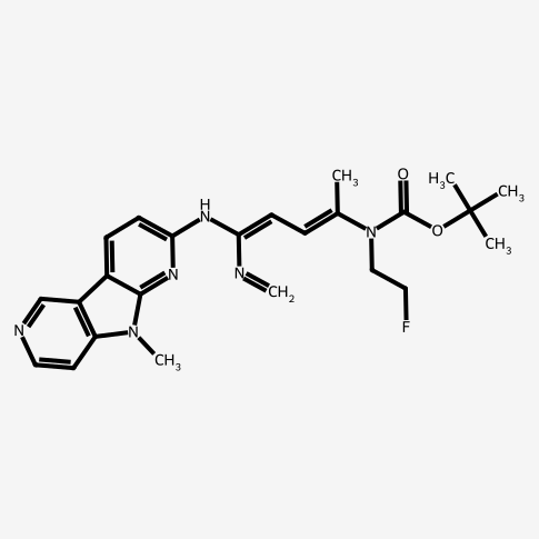 C=N/C(=C\C=C(/C)N(CCF)C(=O)OC(C)(C)C)Nc1ccc2c3cnccc3n(C)c2n1